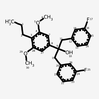 CCCc1c(OC)cc(C(O)(Cc2cccc(F)c2)Cc2cccc(F)c2)cc1OC